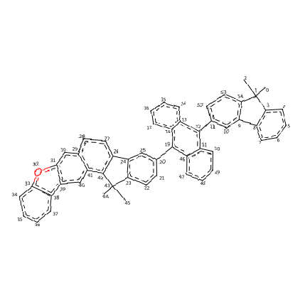 CC1(C)c2ccccc2-c2cc(-c3c4ccccc4c(-c4ccc5c(c4)-c4ccc6cc7oc8ccccc8c7cc6c4C5(C)C)c4ccccc34)ccc21